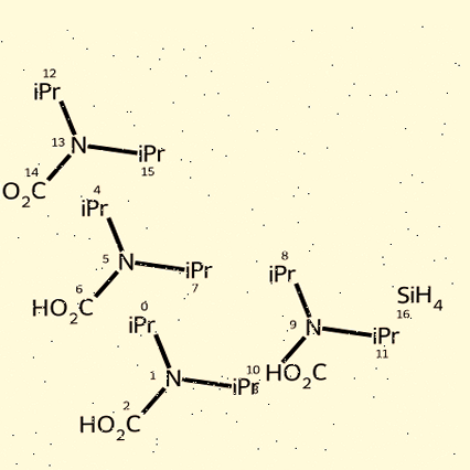 CC(C)N(C(=O)O)C(C)C.CC(C)N(C(=O)O)C(C)C.CC(C)N(C(=O)O)C(C)C.CC(C)N(C(=O)O)C(C)C.[SiH4]